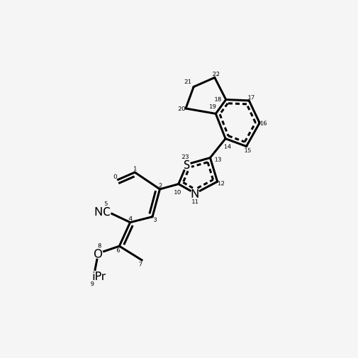 C=C/C(=C\C(C#N)=C(/C)OC(C)C)c1ncc(-c2cccc3c2CCC3)s1